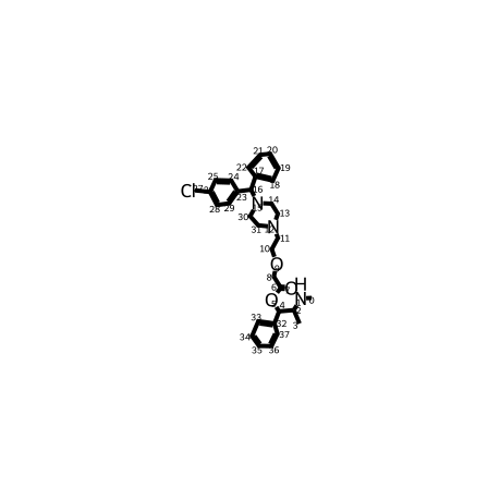 CNC(C)C(OC(=O)COCCN1CCN(C(c2ccccc2)c2ccc(Cl)cc2)CC1)c1ccccc1